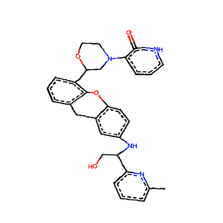 Cc1cccc(C(CO)Nc2ccc3c(c2)Cc2cccc(C4CN(c5ccc[nH]c5=O)CCO4)c2O3)n1